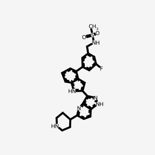 CS(=O)(=O)NCc1cc(F)cc(-c2cccc3[nH]c(-c4n[nH]c5ccc(C6CCNCC6)nc45)cc23)c1